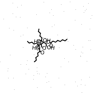 CCCCCCCC(=O)O[C@@H]1[C@H](O)O[C@H](C(O)C(=O)CCCCC)[C@](O)(C(=O)CCCCC)[C@@]1(O)C(=O)CCCCC